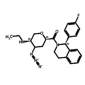 CCN[C@H]1CO[C@@H](C(=O)N2CCc3ccccc3[C@@H]2c2ccc(F)cc2)CC1N=[N+]=[N-]